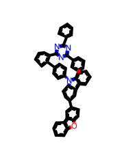 c1ccc(-c2nc(-c3ccccc3)nc(-c3ccccc3-c3ccc(-n4c5ccccc5c5cc(-c6ccc7oc8ccccc8c7c6)ccc54)cc3)n2)cc1